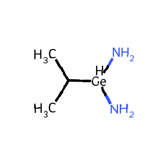 C[CH](C)[GeH]([NH2])[NH2]